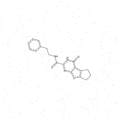 O=C(NCCc1ccccc1)c1nc2sc3c(c2c(=O)[nH]1)CCC3